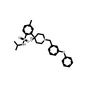 Cc1ccc(S(=O)(=O)NC(C)C)c(C2(O)CCN(Cc3cccc(Oc4ccccc4)c3)CC2)c1